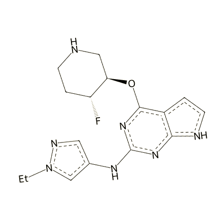 CCn1cc(Nc2nc(O[C@@H]3CNCC[C@H]3F)c3cc[nH]c3n2)cn1